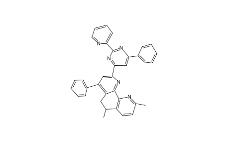 Cc1ccc2c(n1)-c1nc(-c3cc(-c4ccccc4)nc(-c4ccccn4)n3)cc(-c3ccccc3)c1CC2C